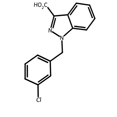 O=C(O)c1nn(Cc2cccc(Cl)c2)c2ccccc12